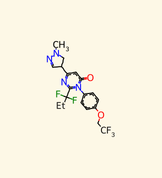 CCC(F)(F)c1nc(C2C=NN(C)C2)cc(=O)n1-c1ccc(OCC(F)(F)F)cc1